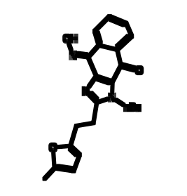 CCCCn1c(CCc2ccc(C)o2)nc2c1C(=O)c1ccccc1C2=NO